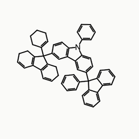 C1=CC2=C(CC1)C(C1=CCCCC1)(c1ccc3c(c1)c1cc(C4(c5ccccc5)c5ccccc5-c5ccccc54)ccc1n3-c1ccccc1)C1=C2C=CCC1